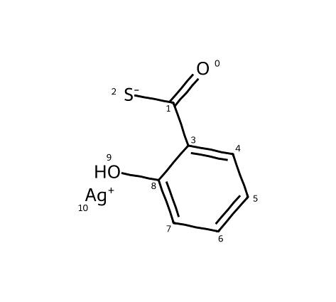 O=C([S-])c1ccccc1O.[Ag+]